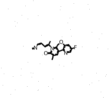 C=N/C=C\C=C(/C)n1c2c(cc(C)c1=O)-c1ncc(F)cc1OC2